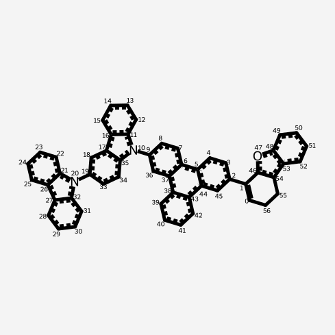 C1=C(c2ccc3c4ccc(-n5c6ccccc6c6cc(-n7c8ccccc8c8ccccc87)ccc65)cc4c4ccccc4c3c2)c2oc3ccccc3c2CC1